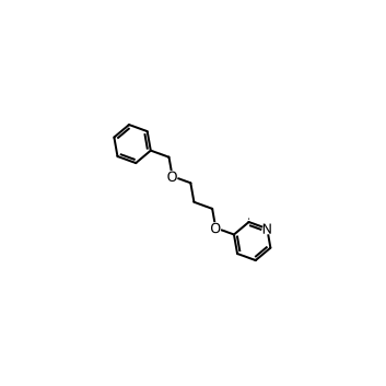 [c]1ncccc1OCCCOCc1ccccc1